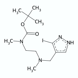 CN(CCN(C)C(=O)OC(C)(C)C)Cc1c[nH]nc1I